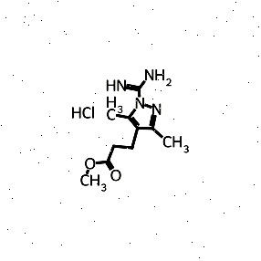 COC(=O)CCc1c(C)nn(C(=N)N)c1C.Cl